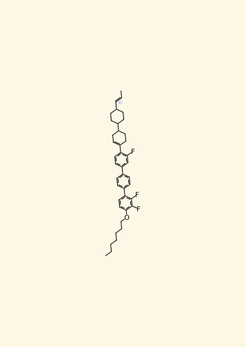 C/C=C/C1CCC(C2CC=C(c3ccc(-c4ccc(-c5ccc(OCCCCCCC)c(F)c5F)cc4)cc3F)CC2)CC1